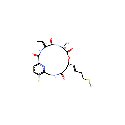 C/C=C1\NC(=O)c2ccc(F)c(n2)CNC(=O)C[C@@H](/C=C/CCSC(C)=O)OC(=O)[C@H](C(C)C)NC1=O